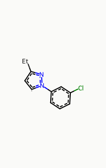 CCc1c[c]n(-c2cccc(Cl)c2)n1